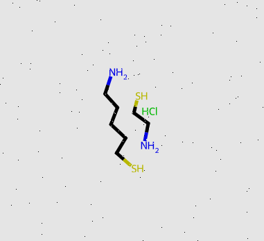 Cl.NCCCCCS.NCCS